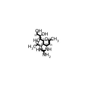 CC(=O)N[C@H]1[C@H]([C@H](O)[C@H](O)CO)OC(C)=C[C@@H]1NC(=N)N